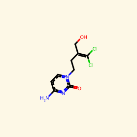 Nc1ccn(CCC(CO)=C(Cl)Cl)c(=O)n1